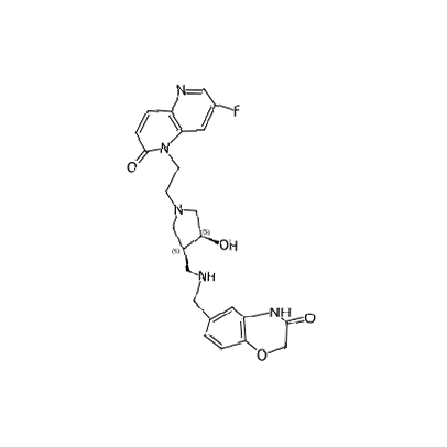 O=C1COc2ccc(CNC[C@H]3CN(CCn4c(=O)ccc5ncc(F)cc54)C[C@H]3O)cc2N1